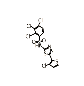 O=S(=O)(Nc1nnc(-c2sccc2Cl)s1)c1ccc(Cl)c(Cl)c1Cl